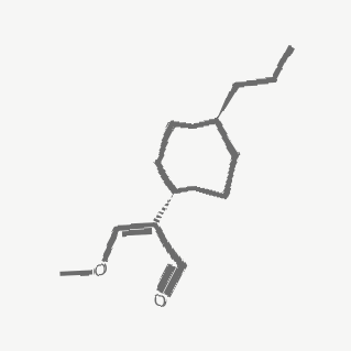 CCC[C@H]1CC[C@H](C(C=O)=COC)CC1